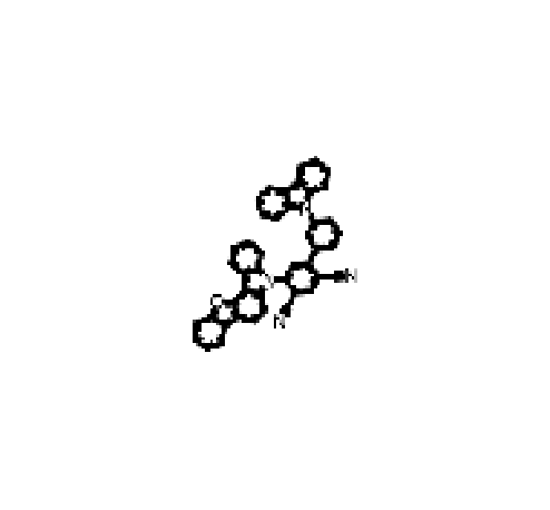 N#Cc1cc(C#N)c(-n2c3ccccc3c3c4oc5ccccc5c4ccc32)cc1-c1cccc(-n2c3ccccc3c3ccccc32)c1